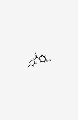 CN1CCC(C(=O)c2ccc(Br)cc2)CC1